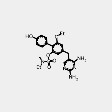 CCOc1cc(Cc2cnc(N)nc2N)cc(OS(=O)(=O)N(C)CC)c1-c1ccc(O)cc1